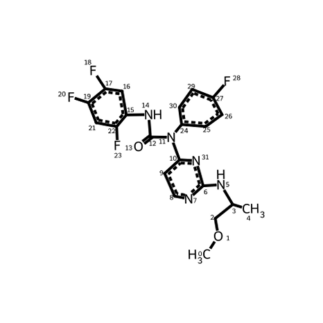 COCC(C)Nc1nccc(N(C(=O)Nc2cc(F)c(F)cc2F)c2ccc(F)cc2)n1